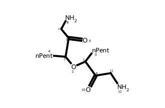 CCCCCC(OC(CCCCC)C(=O)CN)C(=O)CN